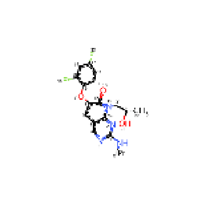 CC(C)Nc1ncc2cc(Oc3ccc(F)cc3F)c(=O)n(C[C@H](C)O)c2n1